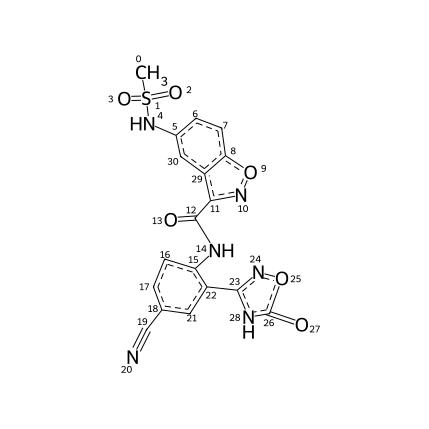 CS(=O)(=O)Nc1ccc2onc(C(=O)Nc3ccc(C#N)cc3-c3noc(=O)[nH]3)c2c1